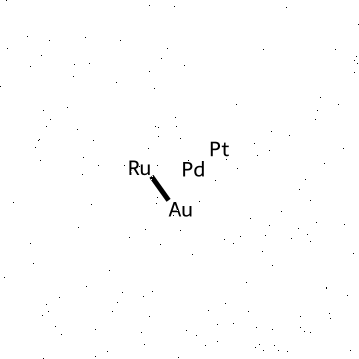 [Pd].[Pt].[Ru][Au]